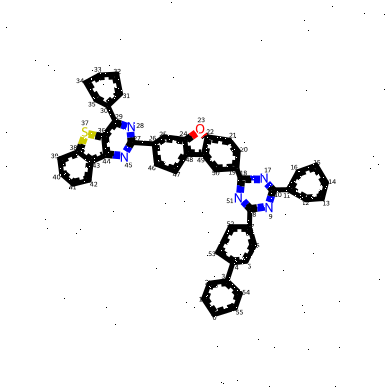 c1ccc(-c2ccc(-c3nc(-c4ccccc4)nc(-c4ccc5oc6cc(-c7nc(-c8ccccc8)c8sc9ccccc9c8n7)ccc6c5c4)n3)cc2)cc1